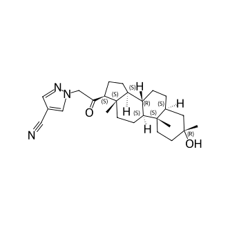 C[C@@]1(O)CC[C@@]2(C)[C@@H](CC[C@@H]3[C@@H]2CC[C@]2(C)[C@@H](C(=O)Cn4cc(C#N)cn4)CC[C@@H]32)C1